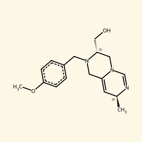 COc1ccc(CN2CC3=C[C@H](C)N=CN3C[C@H]2CO)cc1